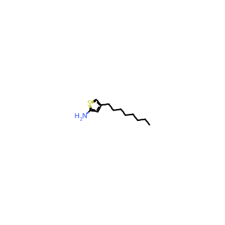 CCCCCCCCc1csc(N)c1